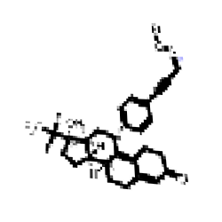 CCO/N=C\C#Cc1ccc([C@H]2C[C@@]3(C)[C@@H](CC[C@@]3(O)C(F)(F)C(F)(F)F)[C@@H]3CCC4=CC(=O)CCC4=C32)cc1